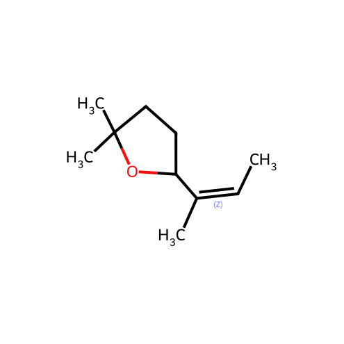 C/C=C(/C)C1CCC(C)(C)O1